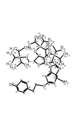 CC(C)[Si](OC[C@H]1O[C@@H](n2cnc3c(N)nc(OCCc4ccc(Cl)cc4)nc32)[C@H](O[Si](C(C)C)(C(C)C)C(C)C)[C@@H]1O[Si](C(C)C)(C(C)C)C(C)C)(C(C)C)C(C)C